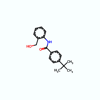 CC(C)(C)c1ccc(C(=O)Nc2ccccc2CO)cc1